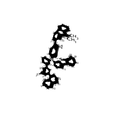 CC1(C)c2ccccc2-c2ccc(-c3ccc(N(c4cccc(-c5cccc(-c6cccc7ccccc67)c5)c4)c4cccc5c4sc4ccccc45)cc3)cc21